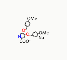 COc1ccc(COc2cnc(C(=O)[O-])cc2OCc2ccc(OC)cc2)cc1.[Na+]